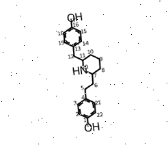 Oc1ccc(CCC2CCCC(Cc3ccc(O)cc3)N2)cc1